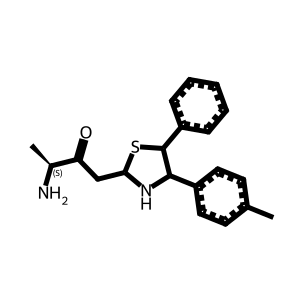 Cc1ccc(C2NC(CC(=O)[C@H](C)N)SC2c2ccccc2)cc1